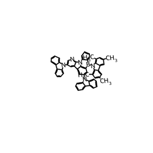 Cc1cc(C)c2c(c1)c1cc(C)cc(C)c1n2B1c2ccccc2-n2c3ncc(-n4c5ccccc5c5ccccc54)cc3c3cc(-n4c5ccccc5c5ccccc54)cc1c32